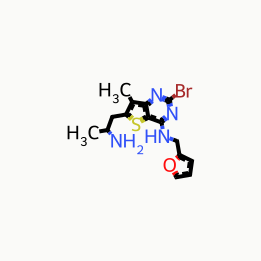 Cc1c(CC(C)N)sc2c(NCc3ccco3)nc(Br)nc12